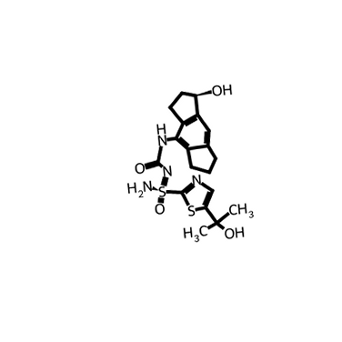 CC(C)(O)c1cnc([S@](N)(=O)=NC(=O)Nc2c3c(cc4c2CC[C@H]4O)CCC3)s1